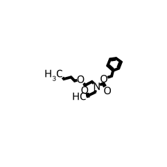 C#CCN(CC(=O)OCCCC)C(=O)OCc1ccccc1